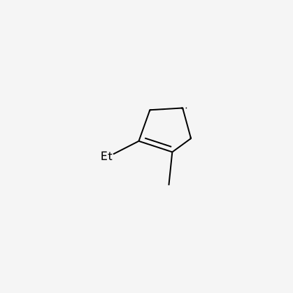 CCC1=C(C)C[CH]C1